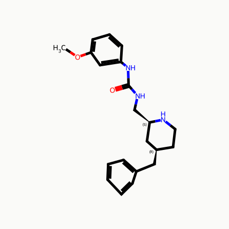 COc1cccc(NC(=O)NC[C@@H]2C[C@H](Cc3ccccc3)CCN2)c1